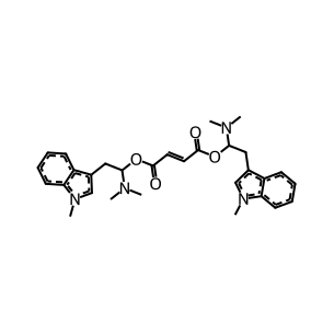 CN(C)C(Cc1cn(C)c2ccccc12)OC(=O)/C=C/C(=O)OC(Cc1cn(C)c2ccccc12)N(C)C